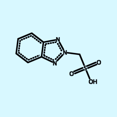 O=S(=O)(O)Cn1nc2ccccc2n1